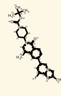 Cc1cn2cc(-c3ccc4c(=O)n(C5CCN(C(=O)OC(C)(C)C)CC5)cc(C)c4c3)cc(F)c2n1